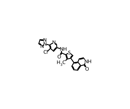 Cc1c(-c2cccc3c(=O)[nH]ccc23)csc1C(=O)Nc1cnc(-n2nccn2)c(Cl)c1